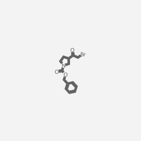 O=C(CBr)C1CCN(C(=O)OCc2ccccc2)C1